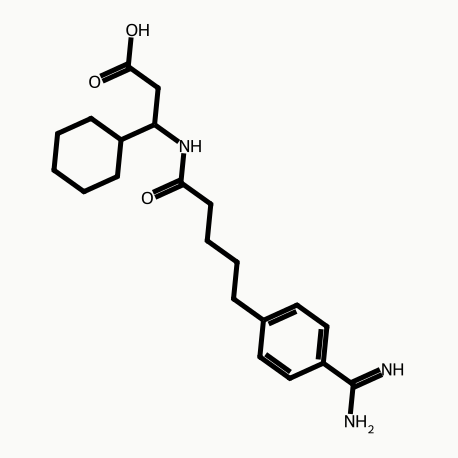 N=C(N)c1ccc(CCCCC(=O)NC(CC(=O)O)C2CCCCC2)cc1